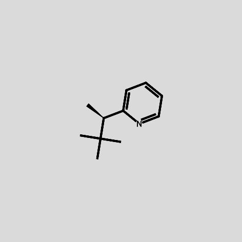 C[C@@H](c1ccccn1)C(C)(C)C